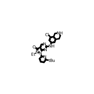 CCn1c(=O)c2cnc(Nc3cc(Cl)c4c(c3)CCNC4)nc2n1-c1cccc(C(C)(C)C)n1